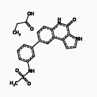 CCC(=O)O.CS(=O)(=O)Nc1cccc(-c2ccc3[nH]c(=O)c4[nH]ccc4c3c2)c1